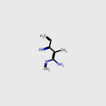 C=CC(=N)/C(C)=C(/N)N=C